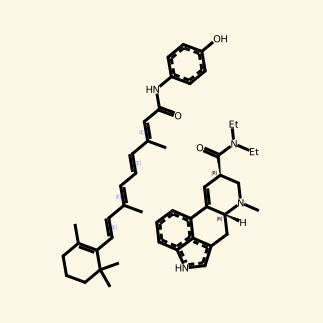 CC1=C(/C=C/C(C)=C/C=C/C(C)=C/C(=O)Nc2ccc(O)cc2)C(C)(C)CCC1.CCN(CC)C(=O)[C@@H]1C=C2c3cccc4[nH]cc(c34)C[C@H]2N(C)C1